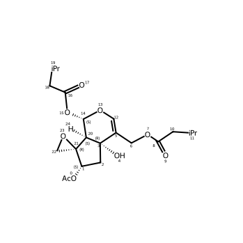 CC(=O)O[C@H]1C[C@]2(O)C(COC(=O)CC(C)C)=CO[C@@H](OC(=O)CC(C)C)[C@@H]2[C@@]12CO2